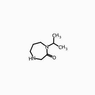 CC(C)N1CCCNCC1=O